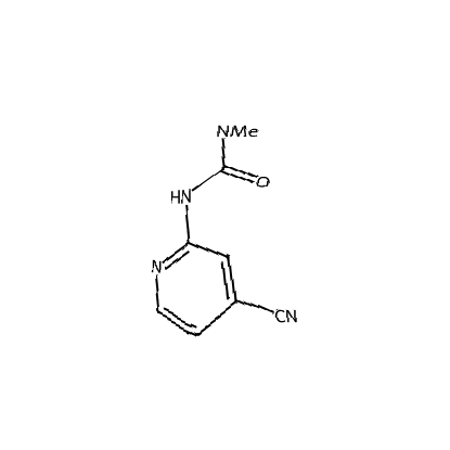 CNC(=O)Nc1cc(C#N)ccn1